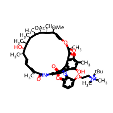 CO[C@H]1/C=C/O[C@@]2(C)Oc3c(C)c(O)c4c(=O)c(c5oc6cccc(OCC[N+](C)(C)C(C)(C)C)c6nc-5c4c3C2=O)NC(=O)/C(C)=C\C=C\[C@H](C)[C@H](O)[C@@H](C)[C@@H](C)[C@@H](C)[C@H](OC(C)=O)[C@@H]1C